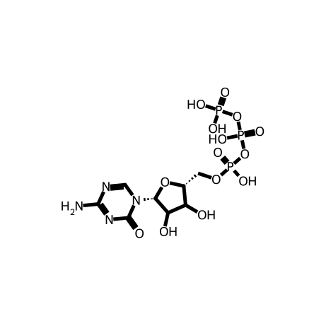 Nc1ncn([C@@H]2O[C@H](COP(=O)(O)OP(=O)(O)OP(=O)(O)O)C(O)C2O)c(=O)n1